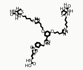 O=C(O)NC/C=C(\F)CS(=O)(=O)c1cccc(Cn2cc(-c3cc(OCCCc4cn(CCCCC[C@@H]5SC[C@@H]6NC(=O)N[C@@H]65)nn4)cc(OCCCc4cn(CCCCC[C@@H]5SC[C@@H]6NC(=O)N[C@@H]65)nn4)c3)nn2)c1